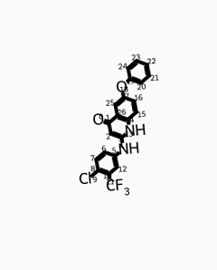 O=c1cc(Nc2ccc(Cl)c(C(F)(F)F)c2)[nH]c2ccc(Oc3ccccc3)cc12